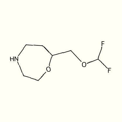 FC(F)OCC1CCNCCO1